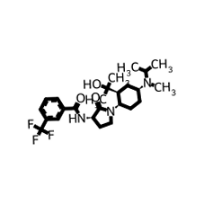 CC(C)N(C)[C@@H]1CC[C@H](N2CC[C@H](NC(=O)c3cccc(C(F)(F)F)c3)C2=O)[C@@H](C(C)(C)O)C1